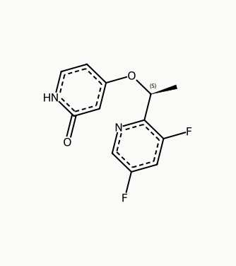 C[C@H](Oc1cc[nH]c(=O)c1)c1ncc(F)cc1F